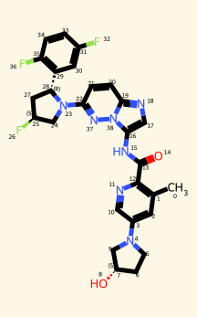 Cc1cc(N2CC[C@H](O)C2)cnc1C(=O)Nc1cnc2ccc(N3C[C@@H](F)C[C@@H]3c3cc(F)ccc3F)nn12